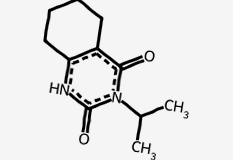 CC(C)n1c(=O)[nH]c2c(c1=O)CCCC2